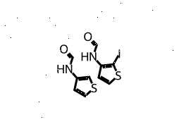 O=CNc1ccsc1.O=CNc1ccsc1I